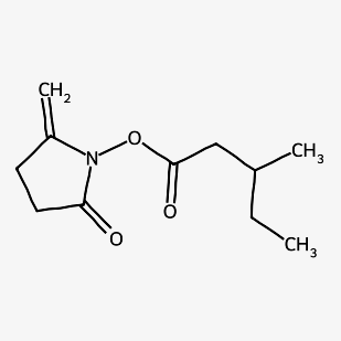 C=C1CCC(=O)N1OC(=O)CC(C)CC